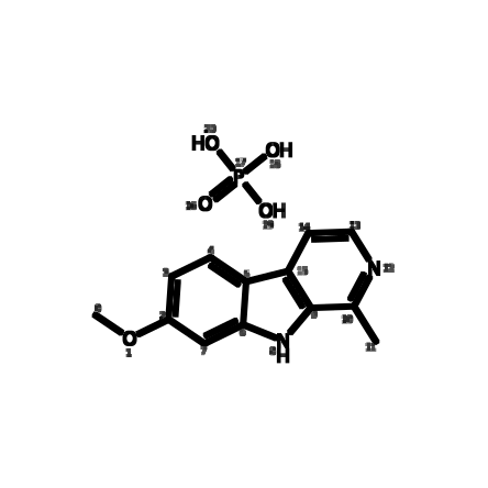 COc1ccc2c(c1)[nH]c1c(C)nccc12.O=P(O)(O)O